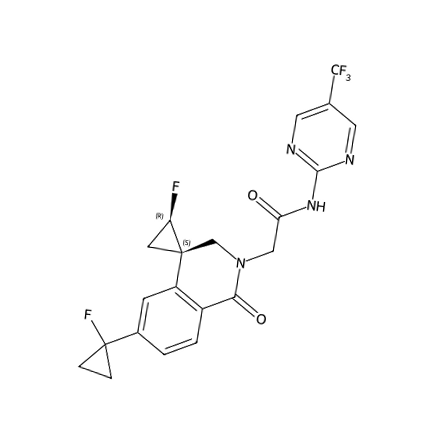 O=C(CN1C[C@]2(C[C@H]2F)c2cc(C3(F)CC3)ccc2C1=O)Nc1ncc(C(F)(F)F)cn1